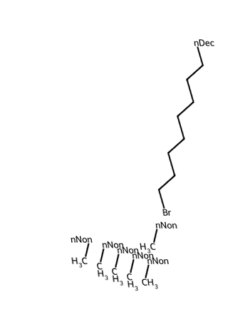 CCCCCCCCCC.CCCCCCCCCC.CCCCCCCCCC.CCCCCCCCCC.CCCCCCCCCC.CCCCCCCCCC.CCCCCCCCCCCCCCCCCCBr